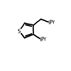 CC(C)Cc1cscc1C(C)C